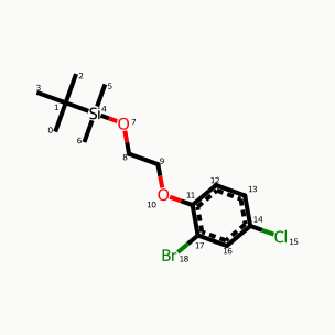 CC(C)(C)[Si](C)(C)OCCOc1ccc(Cl)cc1Br